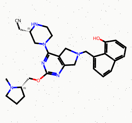 CN1CCC[C@H]1COc1nc2c(c(N3CCN[C@@H](CC#N)C3)n1)CN(Cc1cccc3cccc(O)c13)C2